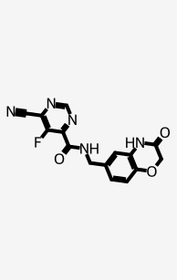 N#Cc1ncnc(C(=O)NCc2ccc3c(c2)NC(=O)CO3)c1F